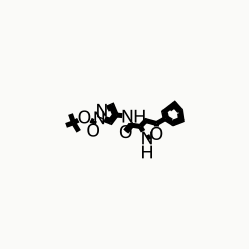 CC(C)(C)OC(=O)n1cc(NC(=O)C2CC(c3ccccc3)ON2)cn1